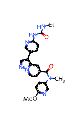 CCNC(=O)Nc1ccc(-c2cnn3ccc(C(=O)N(C)c4ccc(OC)nc4)cc23)cn1